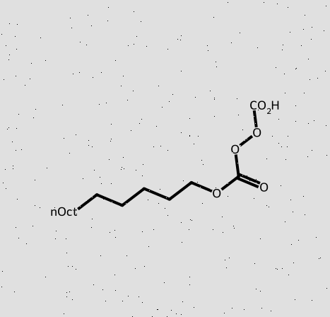 CCCCCCCCCCCCCOC(=O)OOC(=O)O